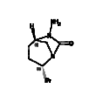 CC(C)[C@@H]1CC[C@H]2CN1C(=O)N2N